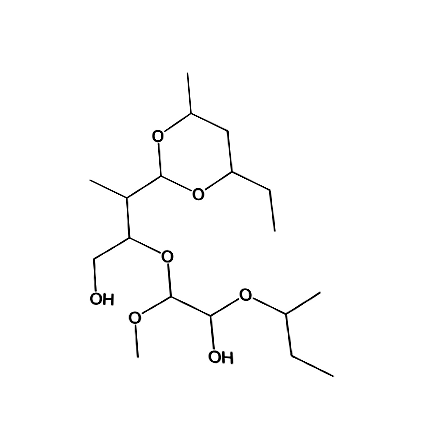 CCC(C)OC(O)C(OC)OC(CO)C(C)C1OC(C)CC(CC)O1